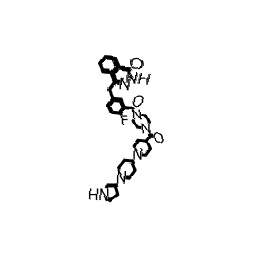 O=C(c1cc(Cc2n[nH]c(=O)c3ccccc23)ccc1F)N1CCN(C(=O)C2CCN(C3CCN([C@H]4CCNC4)CC3)CC2)CC1